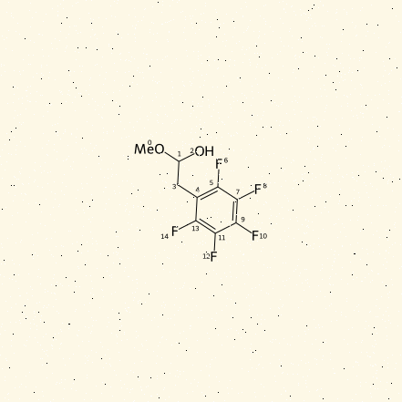 COC(O)Cc1c(F)c(F)c(F)c(F)c1F